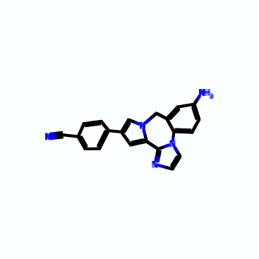 N#Cc1ccc(-c2cc3n(c2)Cc2cc(N)ccc2-n2ccnc2-3)cc1